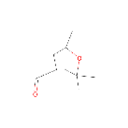 CC(CCC=O)OC(C)(C)C